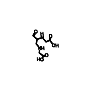 O=CC(CNCC(=O)O)NCC(=O)O